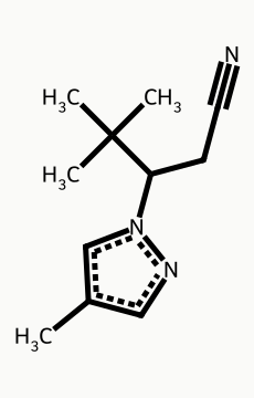 Cc1cnn(C(CC#N)C(C)(C)C)c1